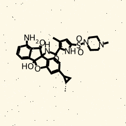 Cc1cc(S(=O)(=O)N2CCN(C)CC2)[nH]c1C(=O)NC12C(=O)c3c(N)cccc3C1(O)Oc1cc(C3C[C@@H]3C)ccc12